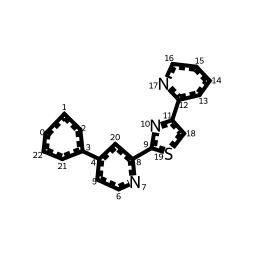 c1ccc(-c2ccnc(-c3nc(-c4ccccn4)cs3)c2)cc1